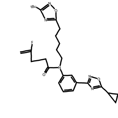 C=C(F)CCC(=O)N(CCCCCc1nc(C(C)(C)C)no1)c1cccc(-c2noc(C3CC3)n2)c1